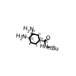 CC(C)(C)NC(=O)[C@H]1CC[C@H](N)[C@H](N)C1